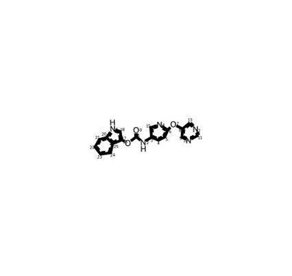 O=C(Nc1ccc(Oc2cncnc2)nc1)Oc1c[nH]c2ccccc12